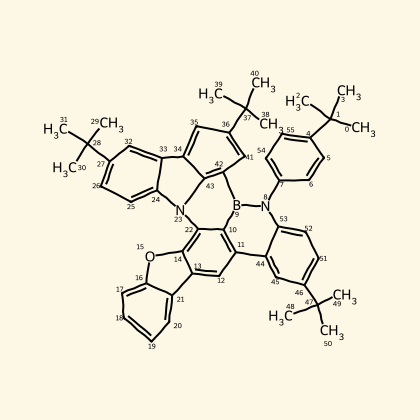 CC(C)(C)c1ccc(N2B3c4c(cc5c(oc6ccccc65)c4-n4c5ccc(C(C)(C)C)cc5c5cc(C(C)(C)C)cc3c54)-c3cc(C(C)(C)C)ccc32)cc1